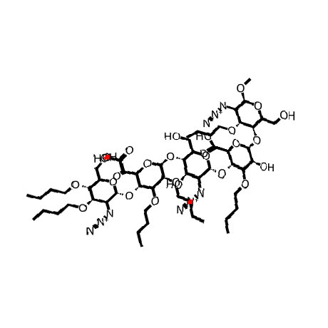 CCCCOC1[C@H](O[C@H]2OC(CO)[C@@H](O[C@@H]3OC(C(=O)C(=O)O)[C@@H](O[C@H]4OC(CO)[C@@H](OCCCC)[C@H](OCCCC)C4N=[N+]=[N-])C(OCCCC)[C@@H]3OCCCC)[C@H](O)C2N=[N+]=[N-])C(C(=O)O)O[C@@H](O[C@@H]2C(CO)O[C@H](OC)C(N=[N+]=[N-])[C@H]2OCCCC)[C@H]1O